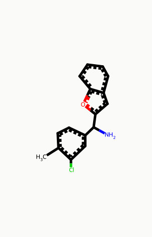 Cc1ccc(C(N)c2cc3ccccc3o2)cc1Cl